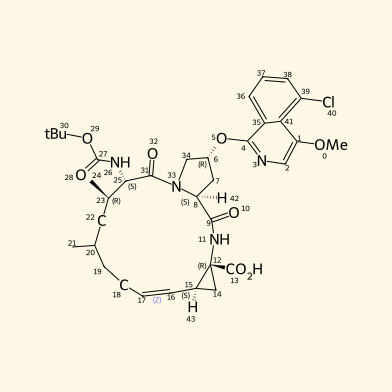 COc1cnc(O[C@@H]2C[C@H]3C(=O)N[C@]4(C(=O)O)C[C@H]4/C=C\CCC(C)C[C@@H](C)[C@H](NC(=O)OC(C)(C)C)C(=O)N3C2)c2cccc(Cl)c12